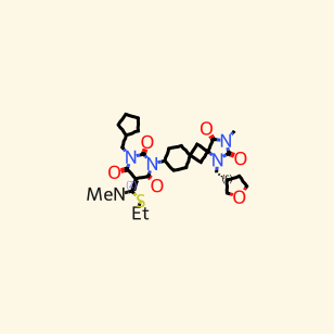 CCS/C(NC)=C1/C(=O)N(CC2CCCC2)C(=O)N(C2CCC3(CC2)CC2(C3)C(=O)N(C)C(=O)N2C[C@@H]2CCOC2)C1=O